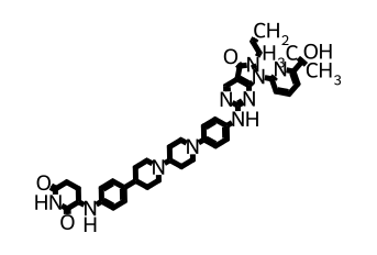 C=CCn1c(=O)c2cnc(Nc3ccc(N4CCC(N5CCC(c6ccc(NC7CCC(=O)NC7=O)cc6)CC5)CC4)cc3)nc2n1-c1cccc(C(C)(C)O)n1